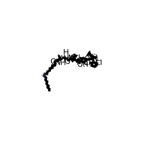 CCCCCCCC/C=C\CCCCCCCC(=O)NCCN(C)CCNC(=O)c1cc(C2CC(O)(c3ccc(OCc4c(-c5c(Cl)cccc5Cl)noc4C4CC4)cc3Cl)C2)n(C(C)C)n1